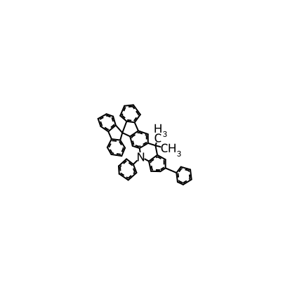 CC1(C)c2cc(-c3ccccc3)ccc2N(c2ccccc2)c2cc3c(cc21)-c1ccccc1C31c2ccccc2-c2ccccc21